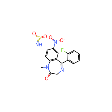 CN1C(=O)CN=C(c2ccccc2F)c2cc([N+](=O)[O-])ccc21.N=S(=O)=O